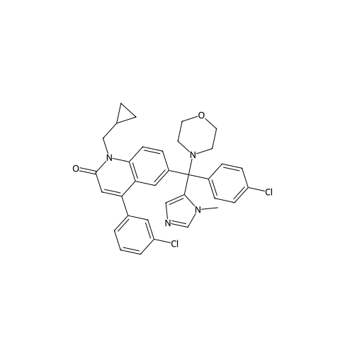 Cn1cncc1C(c1ccc(Cl)cc1)(c1ccc2c(c1)c(-c1cccc(Cl)c1)cc(=O)n2CC1CC1)N1CCOCC1